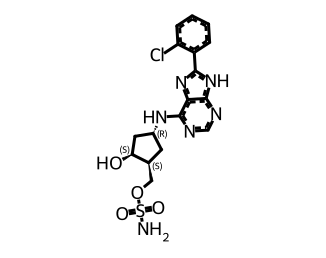 NS(=O)(=O)OC[C@@H]1C[C@@H](Nc2ncnc3[nH]c(-c4ccccc4Cl)nc23)C[C@@H]1O